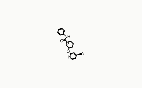 N#Cc1ccnc(OC2CCCN(C(=O)Nc3ccccc3)C2)c1